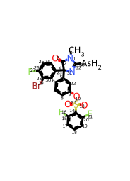 CN1C(=O)C(c2cccc(OS(=O)(=O)c3c(F)cccc3F)c2)(c2ccc(F)c(Br)c2)N=C1[AsH2]